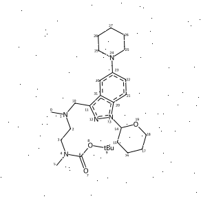 CN(CCN(C)C(=O)OC(C)(C)C)Cc1nn(C2CCCCO2)c2ccc(N3CCCCC3)cc12